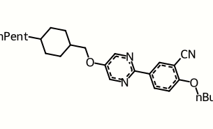 CCCCCC1CCC(COc2cnc(-c3ccc(OCCCC)c(C#N)c3)nc2)CC1